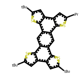 CC(C)c1cc2c3cc(C(C)(C)C)sc3c3cc4c(cc3c2s1)c1sc(C(C)(C)C)cc1c1cc(C(C)(C)C)sc14